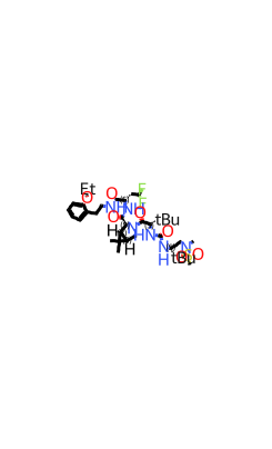 CCOc1ccccc1CCNC(=O)[C@H](CC(F)F)NC(=O)[C@@H]1[C@@H]2[C@H](CN1C(=O)[C@@H](NC(=O)N[C@H](CN(C)S(C)(=O)=O)C(C)(C)C)C(C)(C)C)C2(C)C